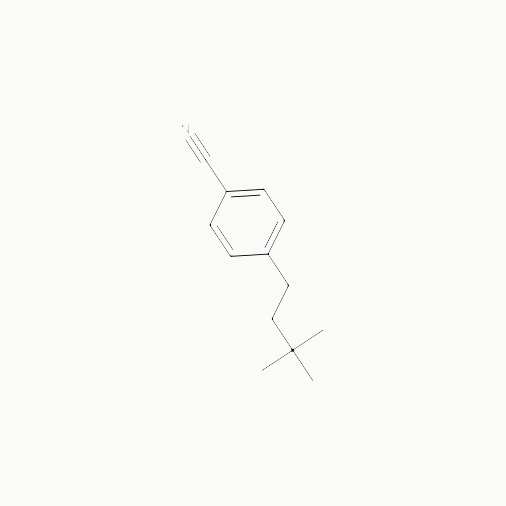 CC(C)(C)CCc1ccc(C#N)cc1